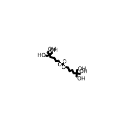 O=C(OCCCCC(CO)(CO)CO)OCCCCC(CO)(CO)CO